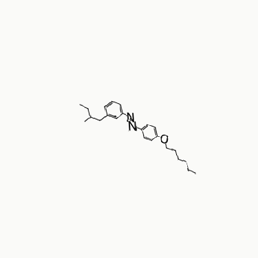 CCCCCCOc1ccc(N=Nc2cccc(CC(C)CC)c2)cc1